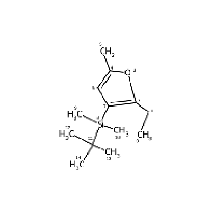 CCc1oc(C)cc1[Si](C)(C)C(C)(C)C